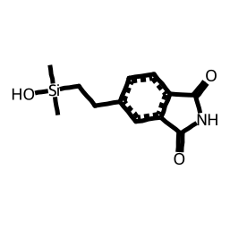 C[Si](C)(O)CCc1ccc2c(c1)C(=O)NC2=O